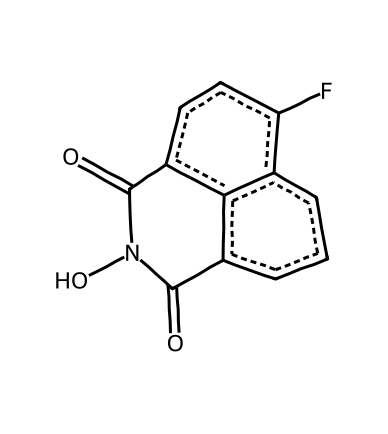 O=C1c2cccc3c(F)ccc(c23)C(=O)N1O